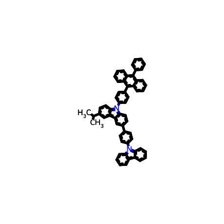 CC(C)c1ccc2c(c1)c1cc(-c3ccc(-n4c5ccccc5c5ccccc54)cc3)ccc1n2-c1ccc(-c2c3ccccc3c(-c3ccccc3)c3ccccc23)cc1